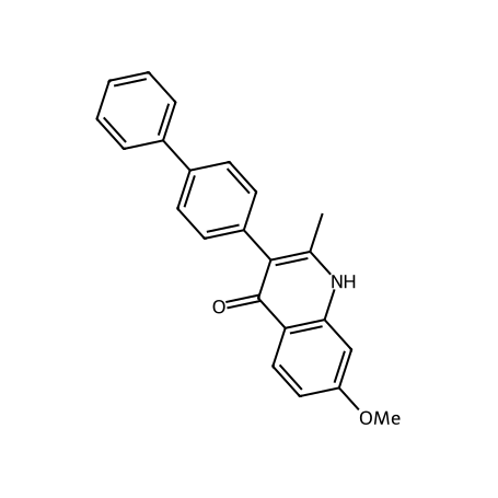 COc1ccc2c(=O)c(-c3ccc(-c4ccccc4)cc3)c(C)[nH]c2c1